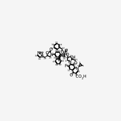 O=C(O)c1cn(C2CC2)c2c3c(c(F)cc2c1=O)N1C[C@@](COc2ccc(N4C[C@@H](Cn5ccnn5)OC4=O)cc2F)(OP(=O)(OCc2ccccc2)OCc2ccccc2)C[C@H]1CO3